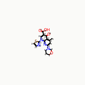 Cc1cc(N2CCCOC2)nc2c1c(=O)c(C(=O)O)cn2-c1nccs1